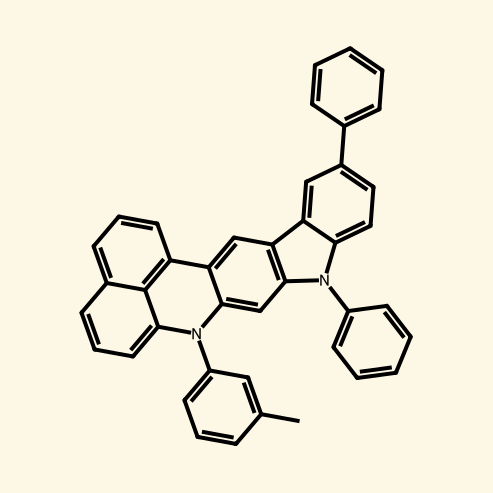 Cc1cccc(N2c3cc4c(cc3-c3cccc5cccc2c35)c2cc(-c3ccccc3)ccc2n4-c2ccccc2)c1